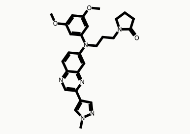 COc1cc(OC)cc(N(CCCN2CCCC2=O)c2ccc3ncc(-c4cnn(C)c4)nc3c2)c1